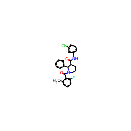 Cc1cccc(F)c1C(=O)N1CCCC(C(=O)Nc2cccc(Cl)c2)C1c1ccccc1